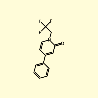 O=c1cc(-c2ccccc2)ccn1CC(F)(F)F